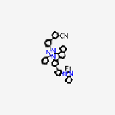 CCc1nc2ccccc2n1-c1cccc(-c2cccc(-c3ccc4ccccc4c3-c3nc(-c4ccccc4)nc(-c4cccc(-c5cccc(C#N)c5)c4)n3)c2)c1